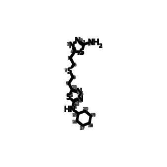 Nc1nnc(CCSCCc2nnc(NC3CCCCC3)s2)s1